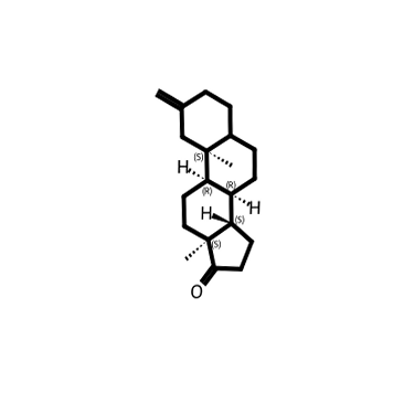 C=C1CCC2CC[C@@H]3[C@@H](CC[C@]4(C)C(=O)CC[C@@H]34)[C@@]2(C)C1